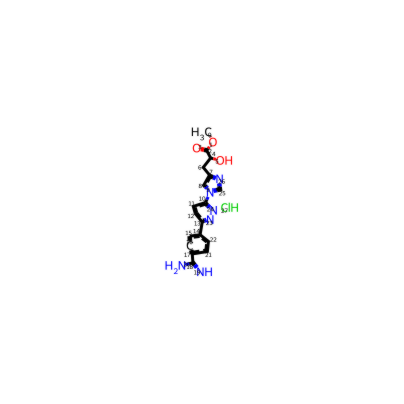 COC(=O)C(O)Cc1cn(-c2ccc(-c3ccc(C(=N)N)cc3)nn2)cn1.Cl